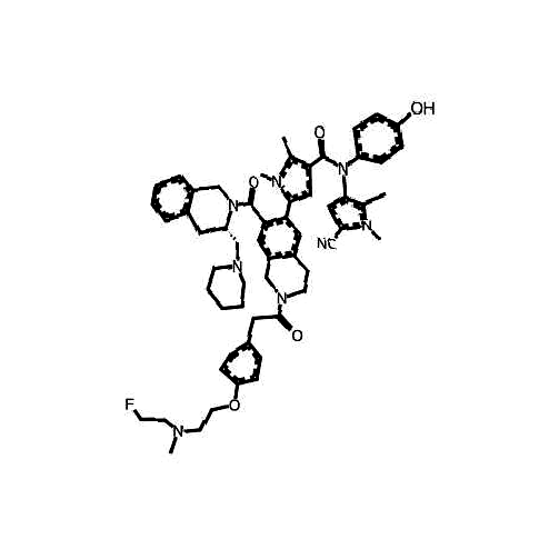 Cc1c(N(C(=O)c2cc(-c3cc4c(cc3C(=O)N3Cc5ccccc5C[C@H]3CN3CCCCC3)CN(C(=O)Cc3ccc(OCCN(C)CCF)cc3)CC4)n(C)c2C)c2ccc(O)cc2)cc(C#N)n1C